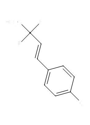 O=C(O)C(F)(F)C=Cc1ccc(Cl)cc1